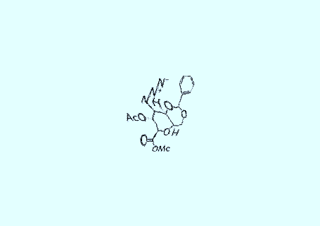 COC(=O)[C@@H]1O[C@@H]2COC(c3ccccc3)O[C@@H]2[C@H](N=[N+]=[N-])[C@H]1OC(C)=O